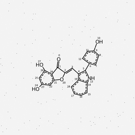 O=C1/C(=C/c2c(-c3ccc(O)cc3)[nH]c3ccccc23)Oc2cc(O)cc(O)c21